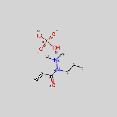 C=CC(=O)N(CCC)N(C)C.O=S(=O)(O)O